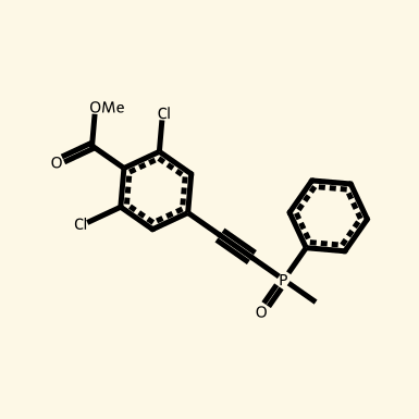 COC(=O)c1c(Cl)cc(C#CP(C)(=O)c2ccccc2)cc1Cl